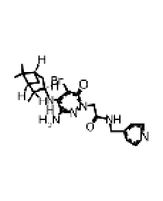 C[C@@H]1[C@H]2C[C@@H](C[C@H]1Nc1c(N)nn(CC(=O)NCc3ccncc3)c(=O)c1Br)C2(C)C